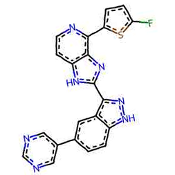 Fc1ccc(-c2nccc3[nH]c(-c4n[nH]c5ccc(-c6cncnc6)cc45)nc23)s1